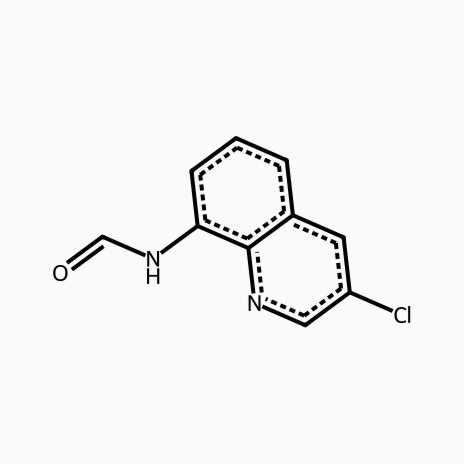 O=CNc1cccc2cc(Cl)cnc12